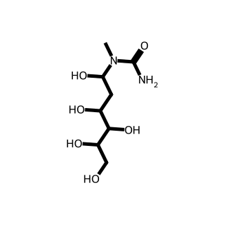 CN(C(N)=O)C(O)CC(O)C(O)C(O)CO